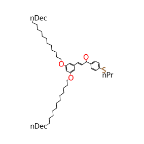 CCCCCCCCCCCCCCCCCCCCCCOc1cc(C=CC(=O)c2ccc(SCCC)cc2)cc(OCCCCCCCCCCCCCCCCCCCCCC)c1